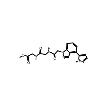 COC(=O)CNC(=O)CNC(=O)Cn1ncc2c(-c3ccnn3C)cccc21